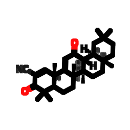 CC1(C)CC[C@]2(C)CC[C@]3(C)[C@H](C(=O)C=C4[C@@]5(C)C=C(C#N)C(=O)C(C)(C)C5CC[C@]43C)[C@H]2C1